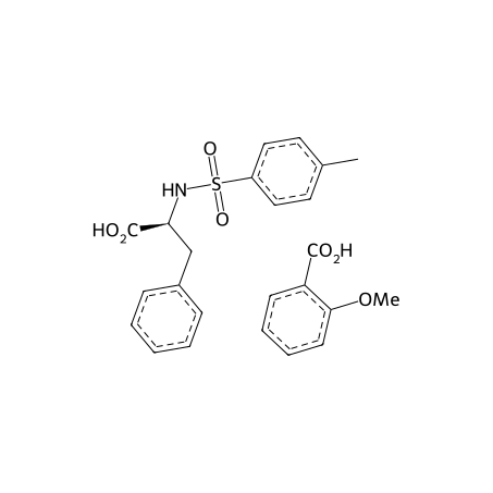 COc1ccccc1C(=O)O.Cc1ccc(S(=O)(=O)N[C@@H](Cc2ccccc2)C(=O)O)cc1